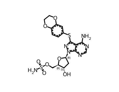 Nc1ncnc2c1c(Sc1ccc3c(c1)OCCO3)nn2[C@H]1C[C@H](O)[C@@H](COS(N)(=O)=O)O1